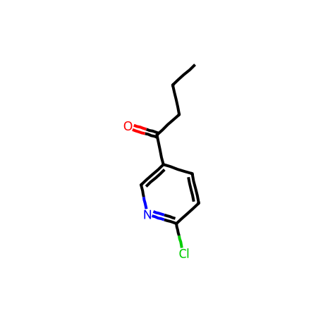 CCCC(=O)c1ccc(Cl)nc1